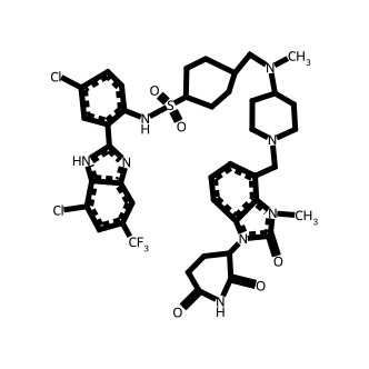 CN(CC1CCC(S(=O)(=O)Nc2ccc(Cl)cc2-c2nc3cc(C(F)(F)F)cc(Cl)c3[nH]2)CC1)C1CCN(Cc2cccc3c2n(C)c(=O)n3C2CCC(=O)NC2=O)CC1